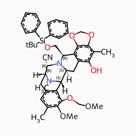 COCOc1c(OC)c(C)cc2c1[C@H]1[C@@H]3Cc4c(O)c(C)c5c(c4[C@H](CO[Si](c4ccccc4)(c4ccccc4)C(C)(C)C)N3[C@@H](C#N)[C@@H](C2)N1C)OCO5